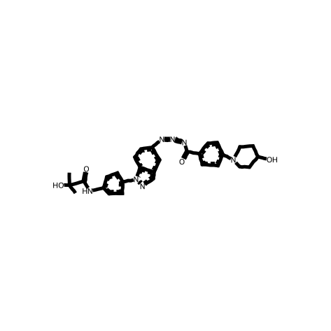 CC(C)(O)C(=O)Nc1ccc(-n2ncc3cc(N=[N+]=NC(=O)c4ccc(N5CCC(O)CC5)cc4)ccc32)cc1